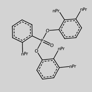 CCCc1ccccc1P(=O)(Oc1cccc(CCC)c1CCC)Oc1cccc(CCC)c1CCC